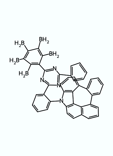 Bc1c(B)c(B)c(-c2nc(-c3ccccc3)nc(-c3ccccc3-n3c4cccc5c4c4c6c(cccc6ccc43)-c3ccccc3-5)n2)c(B)c1B